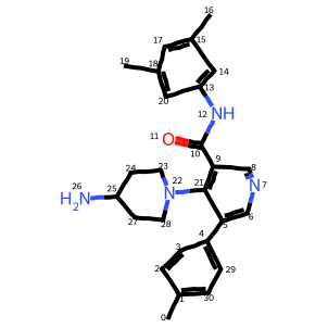 Cc1ccc(-c2cncc(C(=O)Nc3cc(C)cc(C)c3)c2N2CCC(N)CC2)cc1